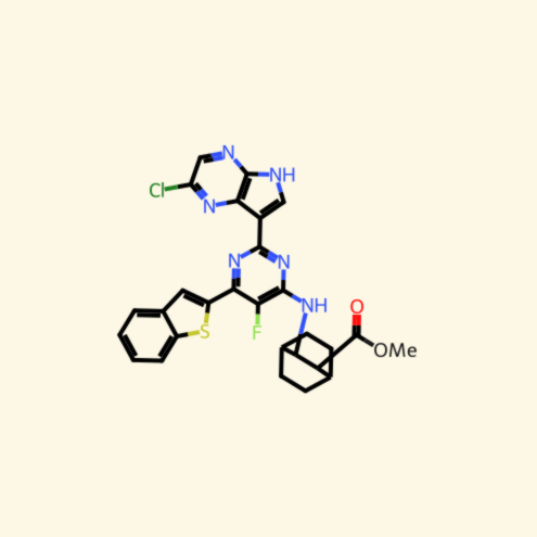 COC(=O)C1C2CCC(CC2)C1Nc1nc(-c2c[nH]c3ncc(Cl)nc23)nc(-c2cc3ccccc3s2)c1F